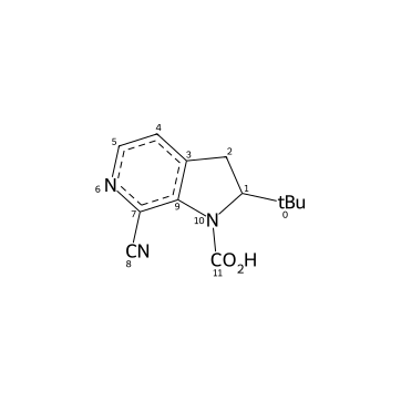 CC(C)(C)C1Cc2ccnc(C#N)c2N1C(=O)O